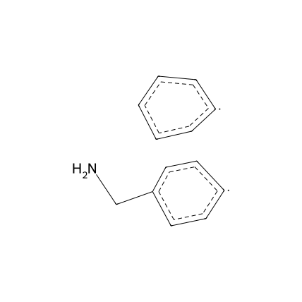 NCc1cc[c]cc1.[c]1ccccc1